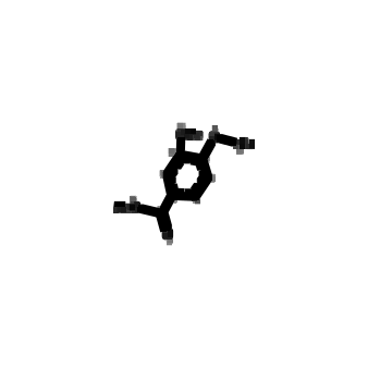 CCCCOc1ccc(C(=O)OC)cc1OC